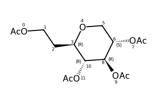 CC(=O)OCC[C@H]1OC[C@H](OC(C)=O)[C@@H](OC(C)=O)[C@@H]1OC(C)=O